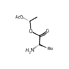 CC[C@H](C)[C@H](N)C(=O)O[C@@H](C)OC(C)=O